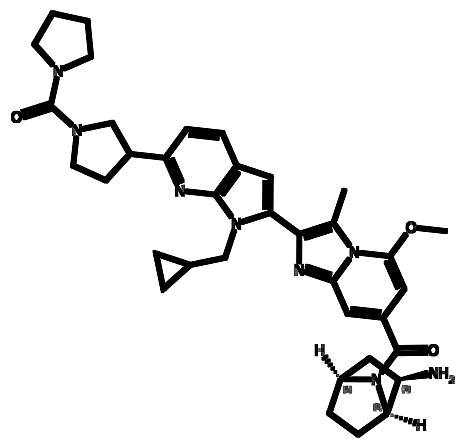 COc1cc(C(=O)N2[C@H]3CC[C@@H]2[C@H](N)C3)cc2nc(-c3cc4ccc(C5CCN(C(=O)N6CCCC6)C5)nc4n3CC3CC3)c(C)n12